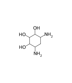 NC1CC(N)C(O)C(O)C1O